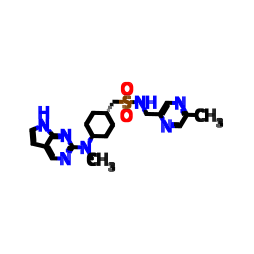 Cc1cnc(CNS(=O)(=O)C[C@H]2CC[C@H](N(C)c3ncc4cc[nH]c4n3)CC2)cn1